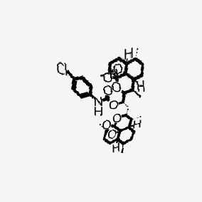 C[C@H]1[C@@H](C[C@H](OC(=O)Nc2ccc(Cl)cc2)C2O[C@@H]3O[C@]4(C)CC[C@H]5[C@H](C)CC[C@@H]([C@H]2C)C35O4)OC2O[C@]3(C)CC[C@H]4[C@H](C)CC[C@@H]1[C@@]24O3